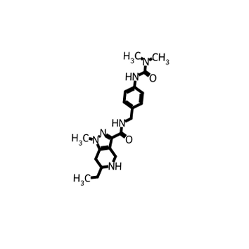 CCC1Cc2c(c(C(=O)NCc3ccc(NC(=O)N(C)C)cc3)nn2C)CN1